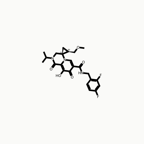 COC[C@@H]1C[C@@]12CN(C(C)C)C(=O)c1c(O)c(=O)c(C(=O)NCc3ccc(F)cc3F)cn12